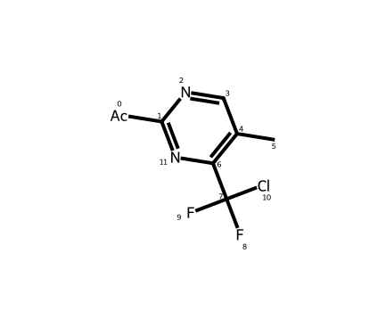 CC(=O)c1ncc(C)c(C(F)(F)Cl)n1